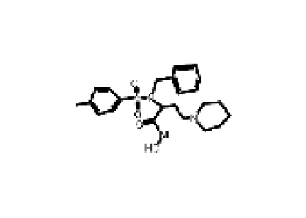 Cc1ccc(S(=O)(=O)N(Cc2ccccc2)C(CCN2CCCCC2)C(=O)NO)cc1